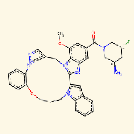 COc1cc(C(=O)N2C[C@H](N)C[C@@H](F)C2)cc2nc3n(c12)Cc1cnn(c1)-c1ccccc1OCCCn1c-3cc2ccccc21